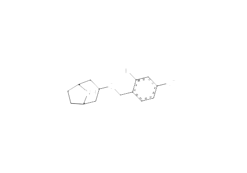 Fc1cc(C(F)(F)F)ccc1COC1CC2CCC(C1)N2